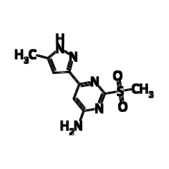 Cc1cc(-c2cc(N)nc(S(C)(=O)=O)n2)n[nH]1